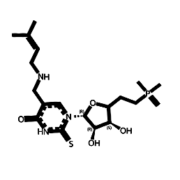 C=P(C)(C)CCC1O[C@@H](n2cc(CNCC=C(C)C)c(=O)[nH]c2=S)[C@H](O)[C@@H]1O